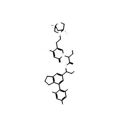 Cc1cc(F)cc(C)c1-c1cc(C(CC(=O)O)NC(=O)C(CC(C)C)n2cc(CCN3C[C@H]4C[C@@H]3CO4)c(C(F)(F)F)cc2=O)cc2c1CCC2